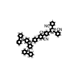 N#Cc1ccccc1-c1cc(-c2ccc(-c3c(C#N)cc(-c4ccc(-n5c6ccc(-n7c8ccccc8c8ccccc87)cc6c6cc(-n7c8ccccc8c8ccccc87)ccc65)cc4)cc3C#N)cc2)nc(-c2ccccc2C#N)n1